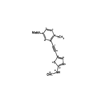 CNc1ccc(C)c(C#Cc2cnc(NC=O)s2)c1